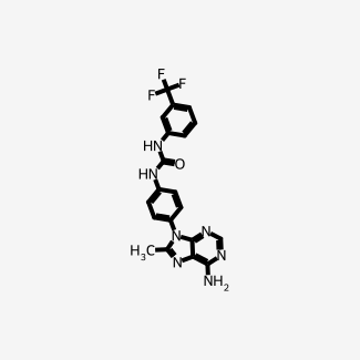 Cc1nc2c(N)ncnc2n1-c1ccc(NC(=O)Nc2cccc(C(F)(F)F)c2)cc1